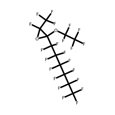 FC(F)(F)C(F)(F)OC1(C(F)(F)C(F)(F)C(F)(F)C(F)(F)C(F)(F)C(F)(F)F)OC1(F)C(F)(F)F